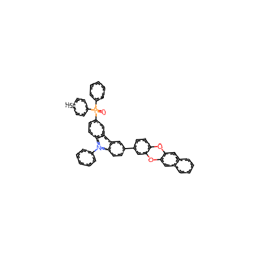 O=P(c1ccccc1)(c1cc[siH]cc1)c1ccc2c(c1)c1cc(-c3ccc4c(c3)Oc3cc5ccccc5cc3O4)ccc1n2-c1ccccc1